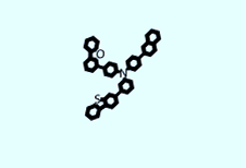 c1cc(-c2ccc3c(c2)sc2ccccc23)cc(N(c2ccc(-c3ccc4ccccc4c3)cc2)c2ccc(-c3cccc4c3oc3ccccc34)cc2)c1